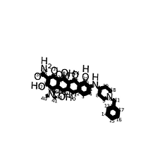 C[C@H]1c2ccc(NC3CCN(Cc4ccccc4)CC3)c(O)c2C(=O)C2=C(O)[C@]3(O)C(=O)C(C(N)=O)=C(O)[C@H](N(C)C)[C@@H]3[C@@H](O)[C@@H]21